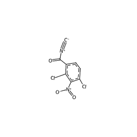 [C-]#[N+]C(=O)c1ccc(Cl)c([N+](=O)[O-])c1Cl